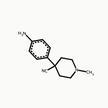 CN1CCC(C#N)(c2ccc(N)cc2)CC1